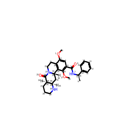 COc1cc(C(=O)N[C@H](C)c2ccccc2)c(OC)c2c1CCN1C(=O)[C@@H]3CCCN[C@@H]3C[C@@H]21